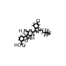 C[C@]1(c2cccc(C(=O)O)c2)C(=O)Nc2nc(-c3nn(CCC(F)(F)C(F)(F)F)c4cc(Cl)ccc34)nc(N)c21